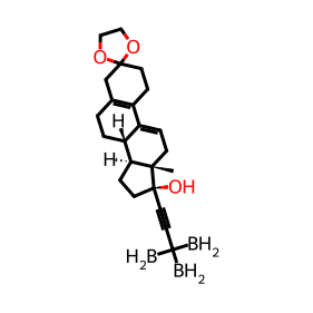 BC(B)(B)C#C[C@]1(O)CC[C@H]2[C@@H]3CCC4=C(CCC5(C4)OCCO5)C3=CC[C@@]21C